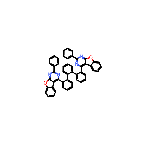 c1ccc(-c2nc(-c3ccccc3-c3ccccc3-c3ccccc3-c3nc(-c4ccccc4)nc4oc5ccccc5c34)c3c(n2)oc2ccccc23)cc1